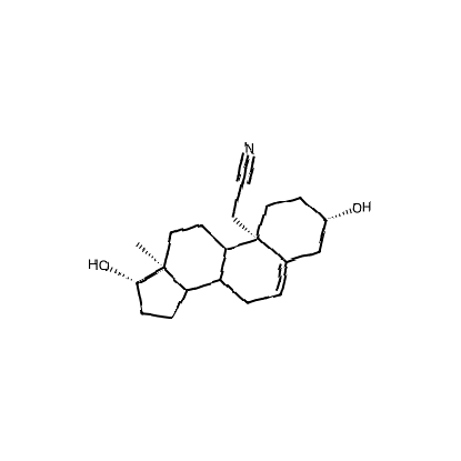 C[C@]12CCC3C(CC=C4C[C@@H](O)CC[C@@]43CC#N)C1CC[C@@H]2O